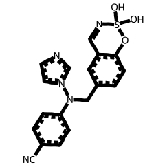 N#Cc1ccc(N(Cc2ccc3c(c2)C=NS(O)(O)O3)n2ccnc2)cc1